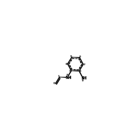 C=CNc1ccccc1S